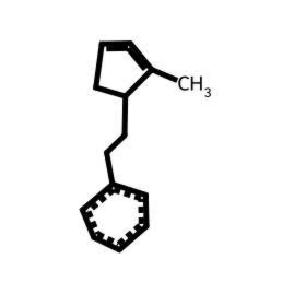 CC1=C=CCC1CCc1ccccc1